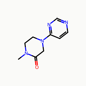 CN1CCN(c2ccn[c]n2)CC1=O